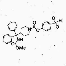 CCS(=O)(=O)c1ccc(OC(=O)N2CCC(C(NC(=O)OC)(c3ccccc3)c3ccccc3)CC2)cc1